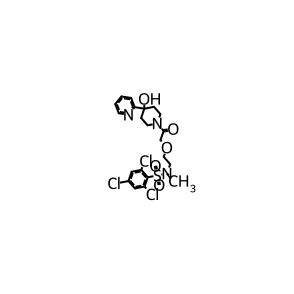 CN(CCOCC(=O)N1CCC(O)(c2ccccn2)CC1)S(=O)(=O)c1c(Cl)cc(Cl)cc1Cl